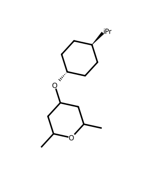 CC1CC(O[C@H]2CC[C@H](C(C)C)CC2)CC(C)O1